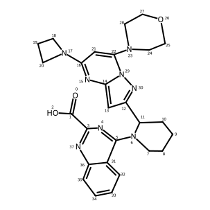 O=C(O)c1nc(N2CCCCC2c2cc3nc(N4CCC4)cc(N4CCOCC4)n3n2)c2ccccc2n1